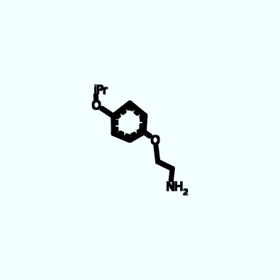 CC(C)Oc1ccc(OCCN)cc1